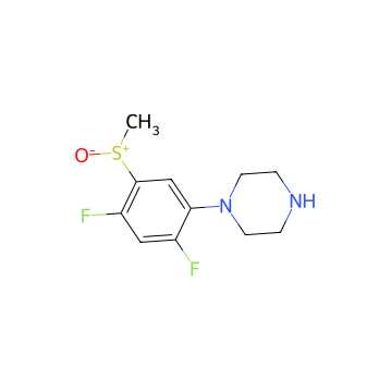 C[S+]([O-])c1cc(N2CCNCC2)c(F)cc1F